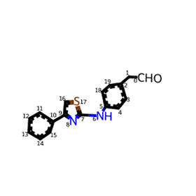 O=CCc1ccc(Nc2nc(-c3ccccc3)cs2)cc1